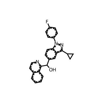 OC(c1ccc2c(c1)c(C1CC1)nn2-c1ccc(F)cc1)c1nccc2ccccc12